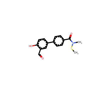 CSN(C)C(=O)c1ccc(-c2ccc(O)c(C=O)c2)cc1